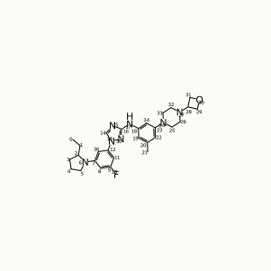 CCC1CCCN1c1cc(F)cc(-n2cnc(Nc3cc(C)cc(N4CCN(C5COC5)CC4)c3)n2)c1